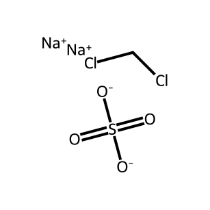 ClCCl.O=S(=O)([O-])[O-].[Na+].[Na+]